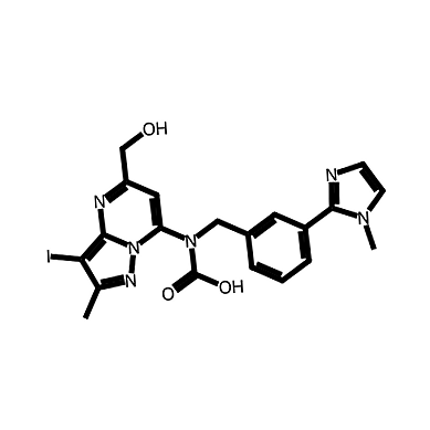 Cc1nn2c(N(Cc3cccc(-c4nccn4C)c3)C(=O)O)cc(CO)nc2c1I